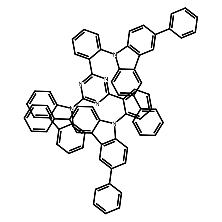 c1ccc(-c2ccc3c(c2)c2cc(-c4ccccc4)ccc2n3-c2ccccc2-c2nc(-c3ccccc3-n3c4ccc(-c5ccccc5)cc4c4cc(-c5ccccc5)ccc43)nc(-n3c4ccccc4c4ccccc43)n2)cc1